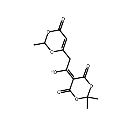 CC1OC(=O)C=C(CC(O)=C2C(=O)OC(C)(C)OC2=O)O1